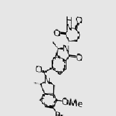 COc1c(Br)ccc2c1CN(C(=O)c1ccc3c(c1)[C@@H](C)N([C@H]1CCC(=O)NC1=O)C3=O)[C@H]2C